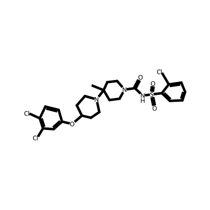 CC1(N2CCC(Oc3ccc(Cl)c(Cl)c3)CC2)CCN(C(=O)NS(=O)(=O)c2ccccc2Cl)CC1